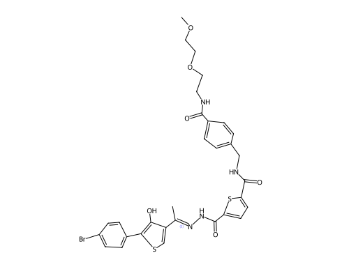 COCCOCCNC(=O)c1ccc(CNC(=O)c2ccc(C(=O)N/N=C(\C)c3csc(-c4ccc(Br)cc4)c3O)s2)cc1